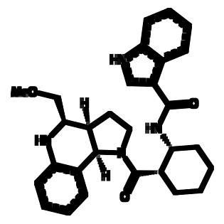 COC[C@@H]1Nc2ccccc2[C@H]2[C@@H]1CCN2C(=O)[C@H]1CCCC[C@H]1NC(=O)c1c[nH]c2ccccc12